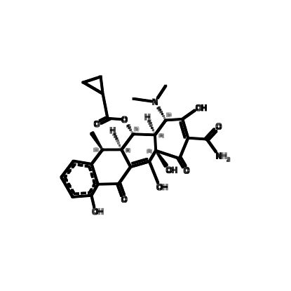 C[C@@H]1c2cccc(O)c2C(=O)C2=C(O)[C@@]3(O)C(=O)C(C(N)=O)=C(O)[C@@H](N(C)C)[C@@H]3[C@@H](OC(=O)C3CC3)[C@@H]21